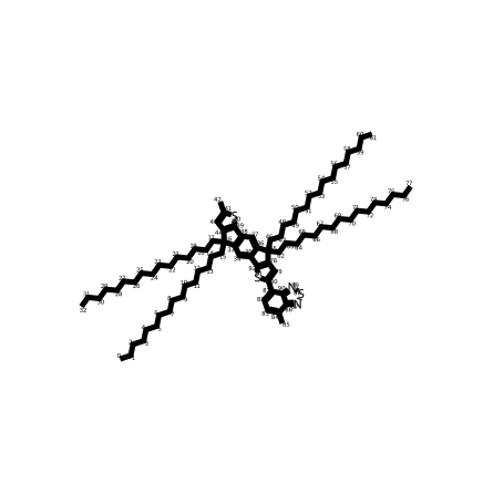 CCCCCCCCCCCCCCCCC1(CCCCCCCCCCCCCCCC)c2cc3c(cc2-c2sc(C)cc21)C(CCCCCCCCCCCCCCCC)(CCCCCCCCCCCCCCCC)c1cc(-c2ccc(C)c4nsnc24)sc1-3